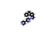 CC1(C)c2ccccc2-c2c1ccc1ccn(-c3ccc(-c4ccncc4)cn3)c21